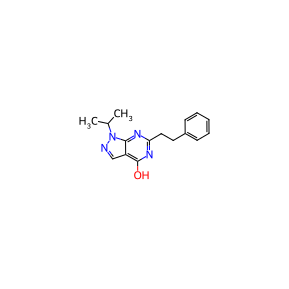 CC(C)n1ncc2c(O)nc(CCc3ccccc3)nc21